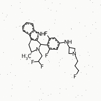 C[C@@H]1Cc2c([nH]c3ccccc23)C(c2c(F)cc(NC3CN(CCCF)C3)cc2F)N1CC(F)F